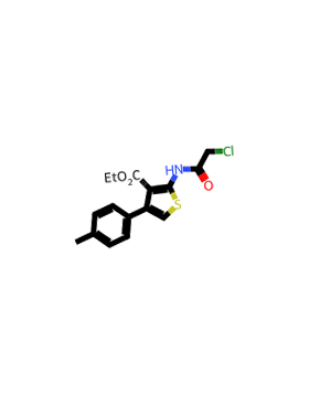 CCOC(=O)c1c(-c2ccc(C)cc2)csc1NC(=O)CCl